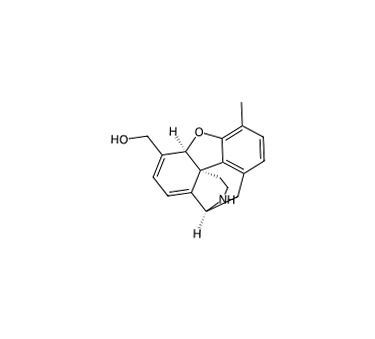 Cc1ccc2c3c1O[C@@H]1C(CO)=CC=C4[C@H](C2)NCC[C@@]431